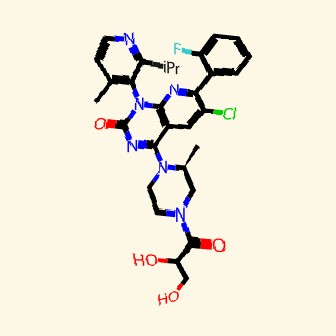 Cc1ccnc(C(C)C)c1-n1c(=O)nc(N2CCN(C(=O)C(O)CO)C[C@@H]2C)c2cc(Cl)c(-c3ccccc3F)nc21